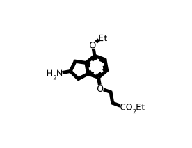 CCOC(=O)CCOc1ccc(OCC)c2c1CC(N)C2